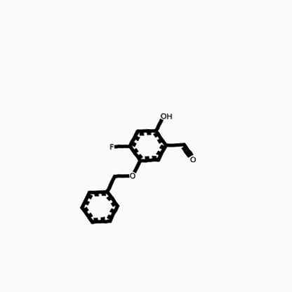 O=Cc1cc(OCc2ccccc2)c(F)cc1O